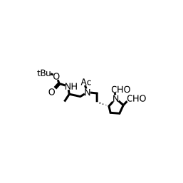 CC(=O)N(CC[C@H]1CCC(C=O)N1C=O)CC(C)NC(=O)OC(C)(C)C